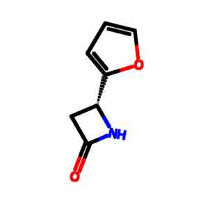 O=C1C[C@H](c2ccco2)N1